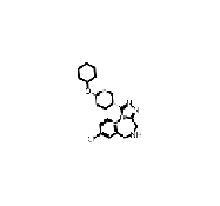 Clc1ccc2c(c1)CNCc1nnc([C@H]3CC[C@@H](OC4CCCCC4)CC3)n1-2